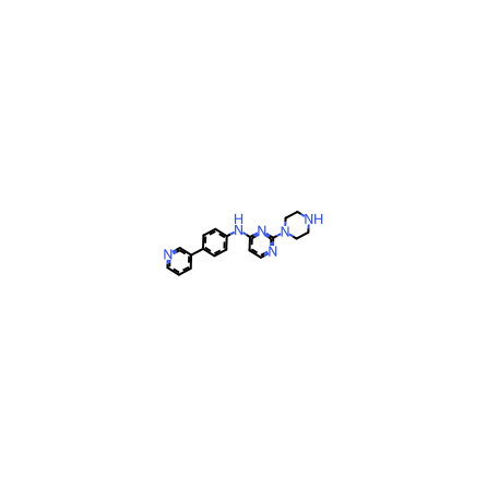 c1cncc(-c2ccc(Nc3ccnc(N4CCNCC4)n3)cc2)c1